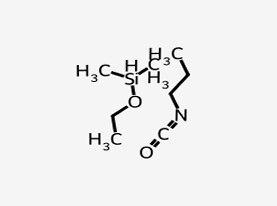 CCCN=C=O.CCO[SiH](C)C